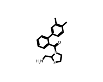 Cc1ccc(-c2ccccc2C(=O)N2CCSC2CN)cc1C